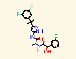 CC(NC(=O)C(O)c1cccc(Cl)c1)C(=O)Nc1cc(C(C)(C)c2cc(F)cc(F)c2)n[nH]1